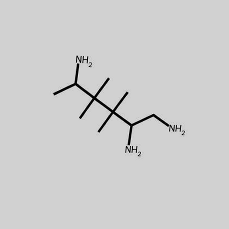 CC(N)C(C)(C)C(C)(C)C(N)CN